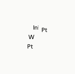 [In].[Pt].[Pt].[W]